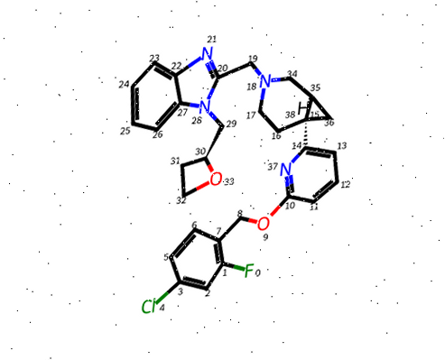 Fc1cc(Cl)ccc1COc1cccc([C@]23CCN(Cc4nc5ccccc5n4C[C@@H]4CCO4)C[C@H]2C3)n1